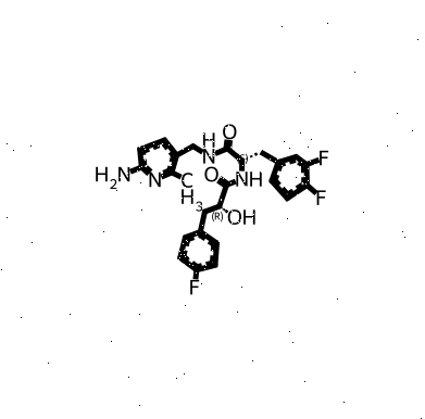 Cc1nc(N)ccc1CNC(=O)[C@H](Cc1ccc(F)c(F)c1)NC(=O)[C@H](O)Cc1ccc(F)cc1